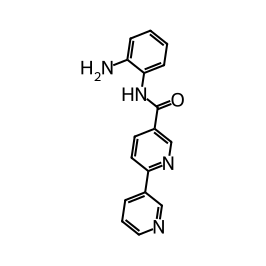 Nc1ccccc1NC(=O)c1ccc(-c2cccnc2)nc1